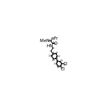 CCCC(NC)C(=O)NCCc1ccc(-c2ccc(Cl)c(Cl)c2)cc1